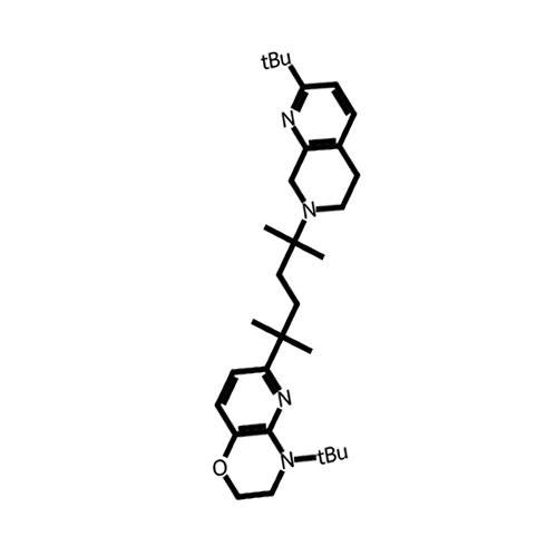 CC(C)(C)c1ccc2c(n1)CN(C(C)(C)CCC(C)(C)c1ccc3c(n1)N(C(C)(C)C)CCO3)CC2